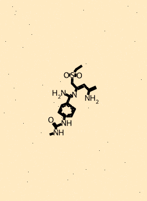 C=C(N)/C=C(CS(=O)(=O)CC)\N=C(/N)c1ccc(NC(=O)NC)cc1